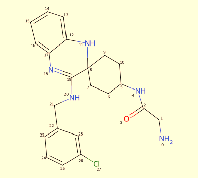 NCC(=O)NC1CCC2(CC1)Nc1ccccc1N=C2NCc1cccc(Cl)c1